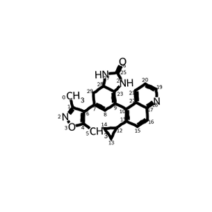 Cc1noc(C)c1C1=CC(c2c(C3CC3)ccc3ncccc23)=C2NC(=O)NC2C1